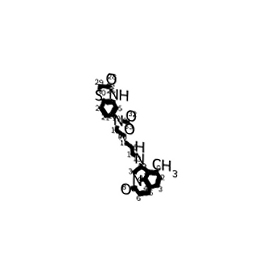 Cc1ccc2ccc(=O)n3c2c1[C@H](NCCC[C@@H]1CN(c2ccc4c(c2)NC(=O)CS4)C(=O)O1)C3